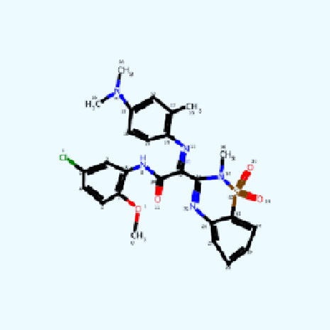 COc1ccc(Cl)cc1NC(=O)/C(=N\c1ccc(N(C)C)cc1C)C1=Nc2ccccc2S(=O)(=O)N1C